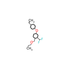 C=Cc1ccc(Oc2ccc(COCCC)c(C(F)F)c2)cc1